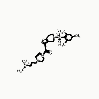 Cc1cc(C)c(S(=O)(=O)N2CCc3onc(C(=O)N4CCN(CCCN(C)C)CC4)c3C2)c(C)c1